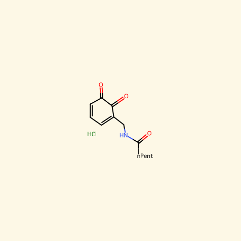 CCCCCC(=O)NCC1=CC=CC(=O)C1=O.Cl